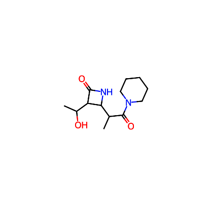 CC(O)C1C(=O)NC1C(C)C(=O)N1CCCCC1